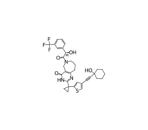 O=C([C@H](O)c1cccc(C(F)(F)F)c1)N1CCCc2nc(C3(c4cc(C#CC5(O)CCCCC5)cs4)CC3)[nH]c(=O)c2C1